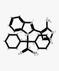 Cc1oncc1-c1nc2ccccc2n1C(C(N)=O)(C1CCCCC1)C1CCCCC1